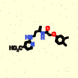 C=C(CCNc1cc(C(=O)O)ccn1)NC(=O)COc1ccc(C)c(C)c1